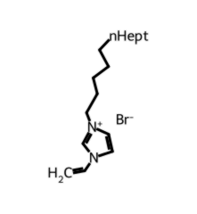 C=Cn1cc[n+](CCCCCCCCCCCC)c1.[Br-]